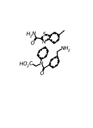 Cc1ccc2nc(C(N)=O)sc2c1.NCc1cccc(C(=O)N(CC(=O)O)c2ccccc2)c1